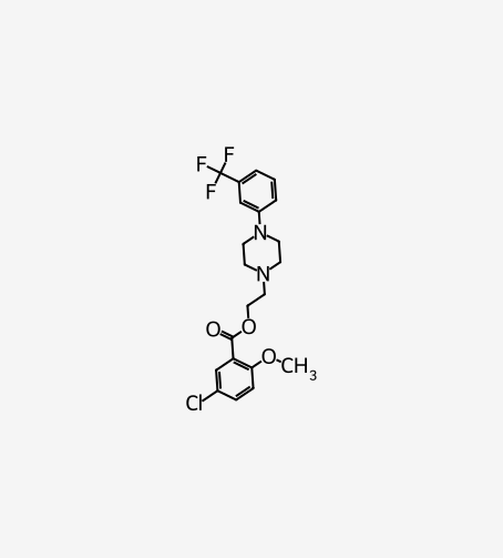 COc1ccc(Cl)cc1C(=O)OCCN1CCN(c2cccc(C(F)(F)F)c2)CC1